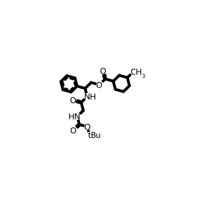 CC1CCCC(C(=O)OCC(NC(=O)CNC(=O)OC(C)(C)C)c2ccccc2)C1